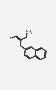 NC/C(=C/F)Cc1ccc2ccccc2c1